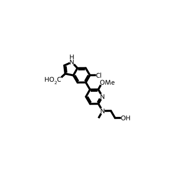 COc1nc(N(C)CCO)ccc1-c1cc2c(C(=O)O)c[nH]c2cc1Cl